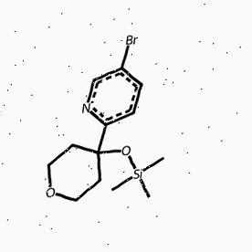 C[Si](C)(C)OC1(c2ccc(Br)cn2)CCOCC1